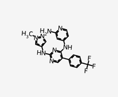 Cn1cc(Nc2ncc(-c3ccc(C(F)(F)F)cc3)c(Nc3ccnc(N)c3)n2)cn1